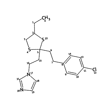 CCC1CSC(CCc2ccc(Cl)cc2)(CCn2ccnc2)S1